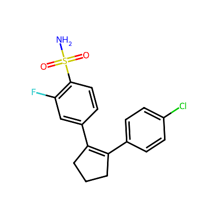 NS(=O)(=O)c1ccc(C2=C(c3ccc(Cl)cc3)CCC2)cc1F